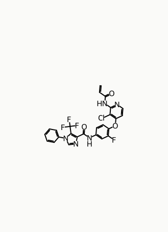 C=CC(=O)Nc1nccc(Oc2ccc(NC(=O)c3ncn(-c4ccccc4)c3C(F)(F)F)cc2F)c1Cl